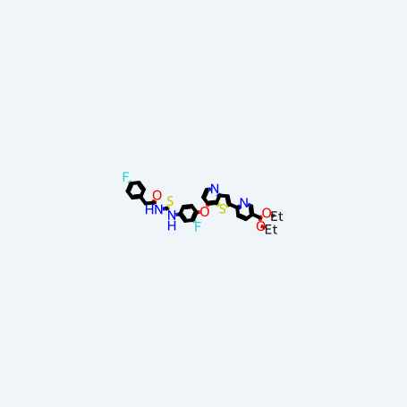 CCOC(OCC)c1ccc(-c2cc3nccc(Oc4ccc(NC(=S)NC(=O)Cc5ccc(F)cc5)cc4F)c3s2)nc1